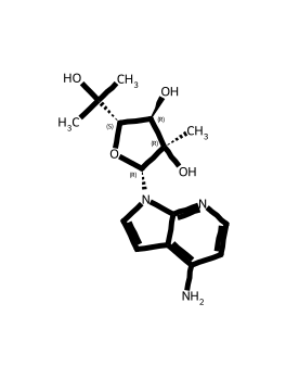 CC(C)(O)[C@H]1O[C@@H](n2ccc3c(N)ccnc32)[C@](C)(O)[C@@H]1O